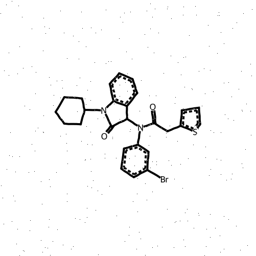 O=C1C(N(C(=O)Cc2cccs2)c2cccc(Br)c2)c2ccccc2N1C1CCCCC1